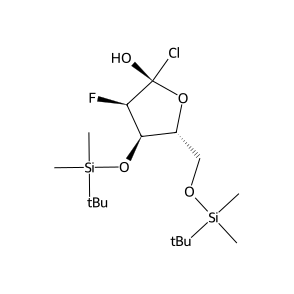 CC(C)(C)[Si](C)(C)OC[C@H]1O[C@@](O)(Cl)[C@H](F)[C@@H]1O[Si](C)(C)C(C)(C)C